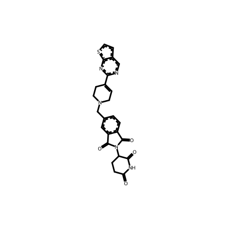 O=C1CCC(N2C(=O)c3ccc(CN4CC=C(c5ncc6ccsc6n5)CC4)cc3C2=O)C(=O)N1